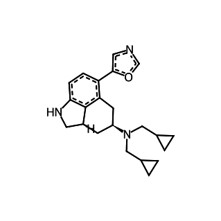 c1ncc(-c2ccc3c4c2C[C@@H](N(CC2CC2)CC2CC2)C[C@H]4CN3)o1